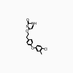 Cc1cc(Oc2ccc(CCOc3cc[nH]c(=O)n3)cc2)ccc1Cl